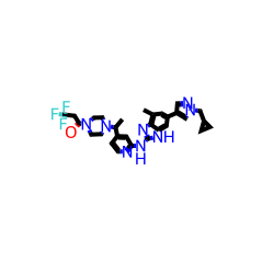 Cc1cc(-c2cnn(CC3CC3)c2)cc2[nH]c(Nc3cc(C(C)N4CCN(C(=O)CC(F)(F)F)CC4)ccn3)nc12